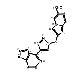 O=Cc1ccc2nc(Cn3cc(-c4nccc5[nH]ncc45)nn3)cn2c1